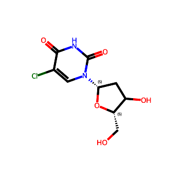 O=c1[nH]c(=O)n([C@@H]2CC(O)[C@H](CO)O2)cc1Cl